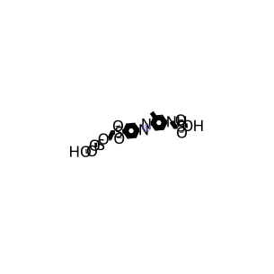 Cc1cc(NCS(=O)(=O)O)ccc1/N=N/c1ccc(S(=O)(=O)CCOSOOO)cc1